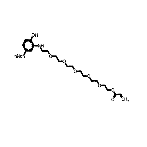 C=CC(=O)OCCOCCOCCOCCOCCOCCNc1cc(CCCCCCCCC)ccc1O